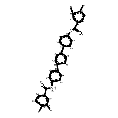 Cc1ccc(C(=O)Nc2ccc(-c3ccc(-c4ccc(NC(=O)c5ccc(C)c(C)c5)cc4)cc3)cc2)cc1C